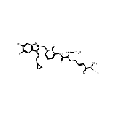 CN(C)C(=O)C=CCCC(NC(=O)O)C(=O)Nc1cccn(Cc2nc3cc(F)c(F)cc3n2CCC2CC2)c1=O